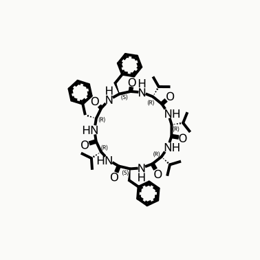 CC(C)[C@H]1NC(=O)[C@H](Cc2ccccc2)NC(=O)[C@@H](C(C)C)NC(=O)[C@@H](C(C)C)NC(=O)[C@@H](C(C)C)NC(=O)[C@H](Cc2ccccc2)NC(=O)[C@@H](Cc2ccccc2)NC1=O